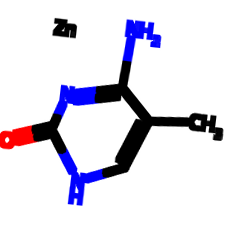 Cc1c[nH]c(=O)nc1N.[Zn]